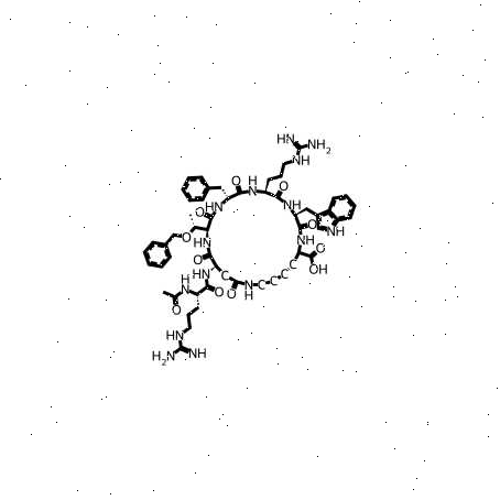 CC(=O)N[C@@H](CCCNC(=N)N)C(=O)N[C@H]1CC(=O)NCCCCC(C(=O)O)NC(=O)[C@H](Cc2c[nH]c3ccccc23)NC(=O)[C@H](CCCNC(=N)N)NC(=O)[C@@H](Cc2ccccc2)NC(=O)[C@H]([C@@H](C)OCc2ccccc2)NC1=O